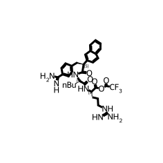 CCCC[C@H](NC(=O)[C@@H](Cc1ccc(C(=N)N)cc1)c1ccc2ccccc2c1)C(=O)N[C@@H](CCCNC(=N)N)C(=O)OC(=O)C(F)(F)F